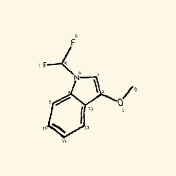 COc1cn(C(F)F)c2ccccc12